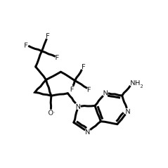 Nc1ncc2ncn(CC3([O])CC3(CC(F)(F)F)CC(F)(F)F)c2n1